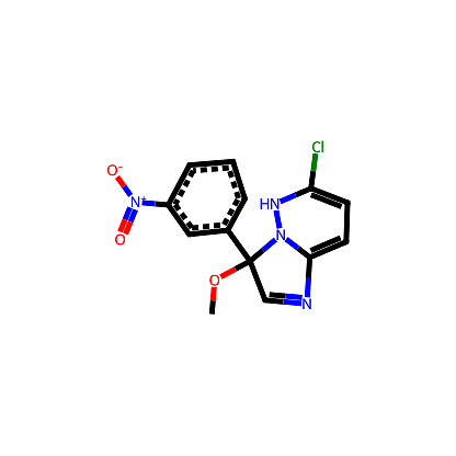 COC1(c2cccc([N+](=O)[O-])c2)C=NC2=CC=C(Cl)NN21